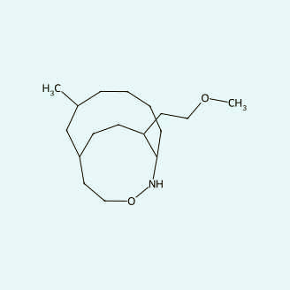 COCCC1CCC2CCONC1CCCCC(C)C2